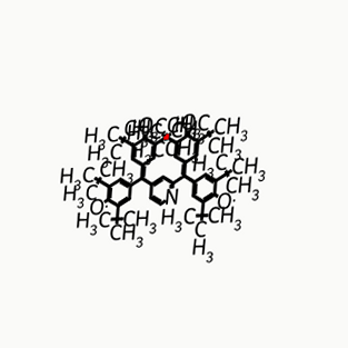 CC(C)(C)C1=CC(=C(c2ccnc(C(=C3C=C(C(C)(C)C)C(=O)C(C(C)(C)C)=C3)c3cc(C(C)(C)C)c([O])c(C(C)(C)C)c3)c2)c2cc(C(C)(C)C)c([O])c(C(C)(C)C)c2)C=C(C(C)(C)C)C1=O